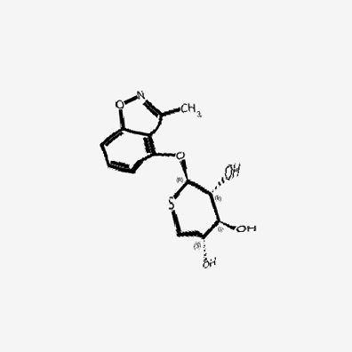 Cc1noc2cccc(O[C@@H]3SC[C@@H](O)[C@H](O)[C@H]3O)c12